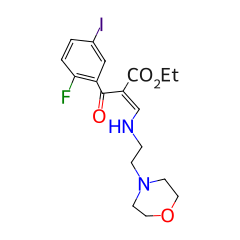 CCOC(=O)C(=CNCCN1CCOCC1)C(=O)c1cc(I)ccc1F